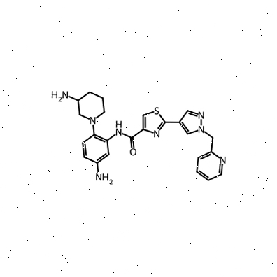 Nc1ccc(N2CCCC(N)C2)c(NC(=O)c2csc(-c3cnn(Cc4ccccn4)c3)n2)c1